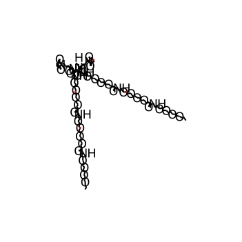 CCCOCCOCCOCCOCCNC(=O)CCOCCOCCOCCOCCNC(=O)CCOCCOCCOCCOCCNC(=O)[C@@H](NC(=O)CCCN1C(=O)C=CC1=O)[C@H](NC(=O)CCCN1C(=O)C=CC1=O)C(=O)NCCOCCOCCOCCOCCC(=O)NCCOCCOCCOCCOCCC(=O)NCCOCCOCCOCCOCCC